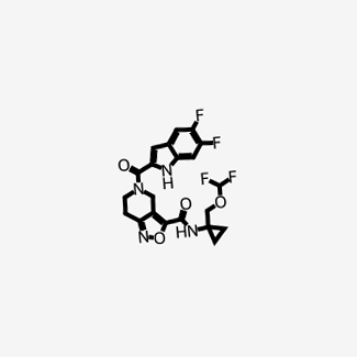 O=C(NC1(COC(F)F)CC1)c1onc2c1CN(C(=O)c1cc3cc(F)c(F)cc3[nH]1)CC2